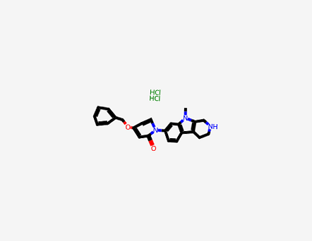 Cl.Cl.Cn1c2c(c3ccc(-n4ccc(OCc5ccccc5)cc4=O)cc31)CCNC2